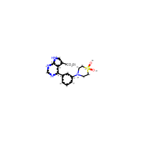 CCOC(=O)c1c[nH]c2ncnc(-c3cccc(N4CCS(=O)(=O)CC4)c3)c12